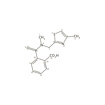 Cc1csc(CN(C)C(=O)c2ccccc2C(=O)O)n1